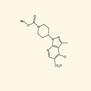 Cc1nn(C2CCN(C(=O)OC(C)(C)C)CC2)c2ncc(C(=O)O)c(Cl)c12